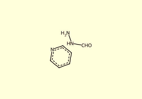 NNC=O.c1ccncc1